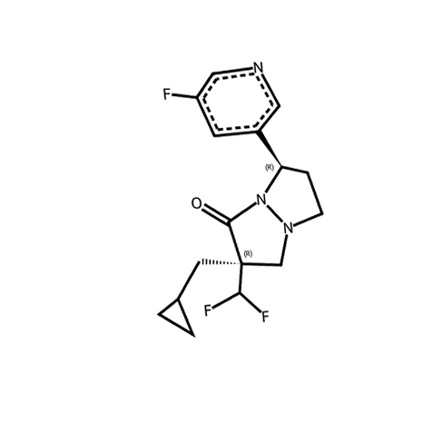 O=C1N2[C@@H](c3cncc(F)c3)CCN2C[C@@]1(CC1CC1)C(F)F